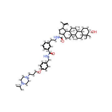 C=C(C)[C@@H]1CC[C@]2(C(=O)NCCc3cccc(C(=O)NCc4ccc(OCCCN5CCN(C(C)C)CC5)cc4)c3)CC[C@]3(C)C(CCC4[C@@]5(C)CC[C@H](O)C(C)(C)C5CC[C@]43C)C12